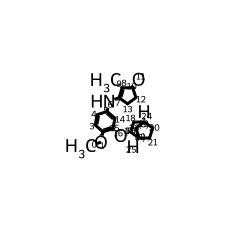 COc1ccc(NC2=C(C)C(=O)CC2)cc1O[C@@H]1C[C@H]2CC[C@@H]1C2